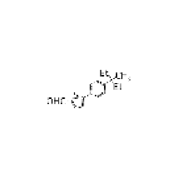 CCC(C)(CC)c1ccc(-c2ccc(C=O)s2)cc1